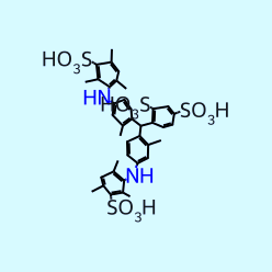 Cc1cc(Nc2c(C)cc(C)c(S(=O)(=O)O)c2C)ccc1C(c1ccc(Nc2c(C)cc(C)c(S(=O)(=O)O)c2C)cc1C)c1ccc(S(=O)(=O)O)cc1S(=O)(=O)O